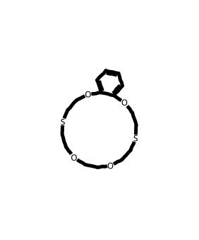 c1ccc2c(c1)OCCSCCOCCOCCSCCO2